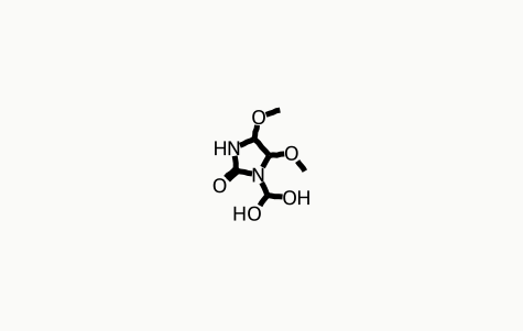 COC1NC(=O)N(C(O)O)C1OC